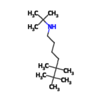 CC(C)(C)NCCCCC(C)(C)C(C)(C)C